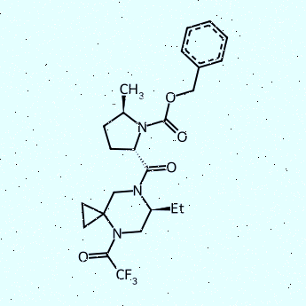 CC[C@H]1CN(C(=O)C(F)(F)F)C2(CC2)CN1C(=O)[C@@H]1CC[C@@H](C)N1C(=O)OCc1ccccc1